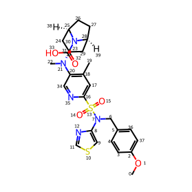 COc1ccc(CN(c2cscn2)S(=O)(=O)c2cc(C)c(N(C)[C@@H]3C[C@H]4CC[C@@H](C3)N4C(=O)O)cn2)cc1